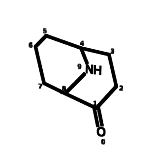 O=C1CCC2CCC[C]1N2